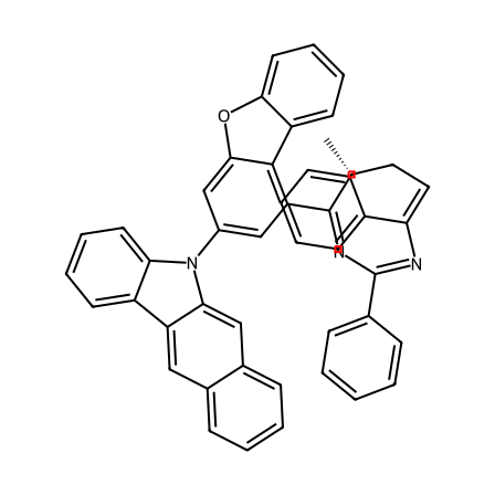 C[C@@H]1C/C=C(c2ccccc2)/N=C(c2ccccc2)\N=C/1c1cc(-n2c3ccccc3c3cc4ccccc4cc32)cc2oc3ccccc3c12